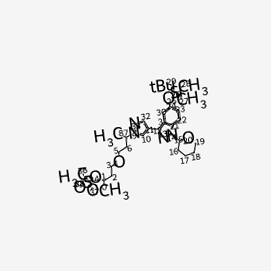 CC(CCOCCC(C)n1cc(-c2nn(C3CCCCO3)c3ccc(O[Si](C)(C)C(C)(C)C)cc23)cn1)OS(C)(=O)=O